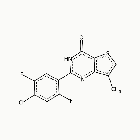 Cc1csc2c(=O)[nH]c(-c3cc(F)c(Cl)cc3F)nc12